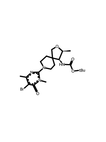 Cc1nc(N2CCC3(CC2)CO[C@@H](C)[C@H]3NC(=O)OC(C)(C)C)n(C)c(=O)c1Br